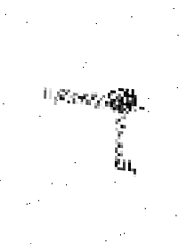 CCCCCCCCCCCCOC(OCCCCCCCCCCCC)(OP(=O)(O)O)C(=O)O